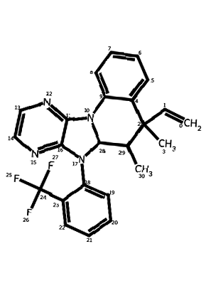 C=CC1(C)c2ccccc2N2c3nccnc3N(c3ccccc3C(F)(F)F)C2C1C